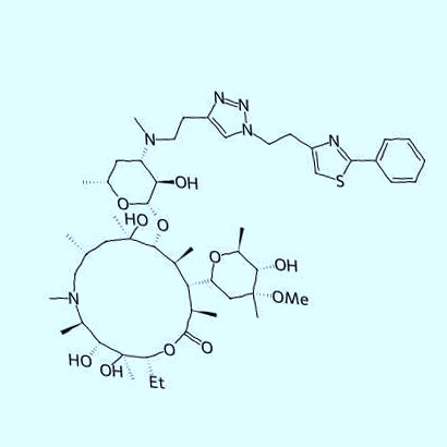 CC[C@H]1OC(=O)[C@H](C)[C@@H](C2C[C@@](C)(OC)[C@@H](O)[C@H](C)O2)[C@H](C)[C@@H](O[C@@H]2O[C@H](C)C[C@H](N(C)CCc3cn(CCc4csc(-c5ccccc5)n4)nn3)[C@H]2O)[C@](C)(O)C[C@@H](C)CN(C)[C@H](C)[C@@H](O)[C@]1(C)O